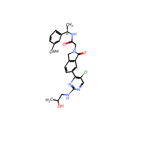 COc1cccc([C@@H](C)NC(=O)CN2Cc3ccc(-c4nc(NCC(C)O)ncc4Cl)cc3C2=O)c1